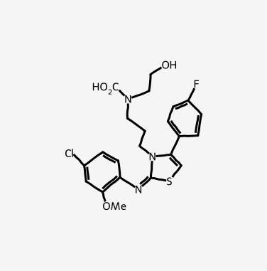 COc1cc(Cl)ccc1/N=c1/scc(-c2ccc(F)cc2)n1CCCN(CCO)C(=O)O